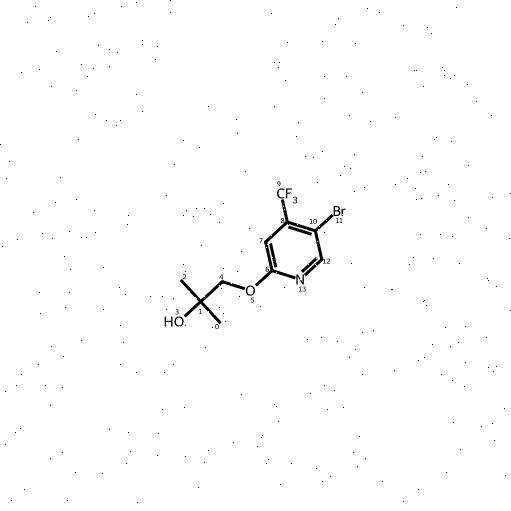 CC(C)(O)COc1cc(C(F)(F)F)c(Br)cn1